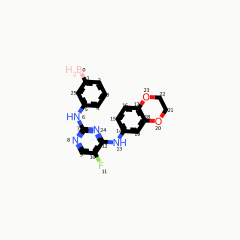 Bc1cccc(Nc2ncc(F)c(Nc3ccc4c(c3)OCCO4)n2)c1